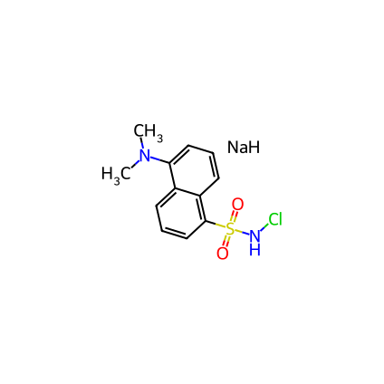 CN(C)c1cccc2c(S(=O)(=O)NCl)cccc12.[NaH]